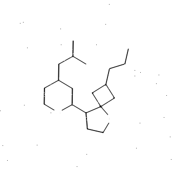 CCCC1CC2(C1)OCCC2C1CC(CC(C)C)CCO1